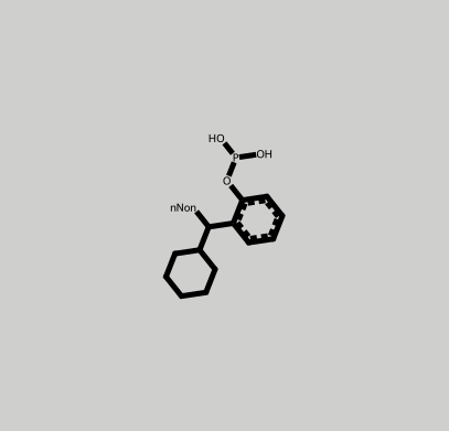 CCCCCCCCCC(c1ccccc1OP(O)O)C1CCCCC1